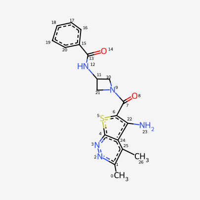 Cc1nnc2sc(C(=O)N3CC(NC(=O)c4ccccc4)C3)c(N)c2c1C